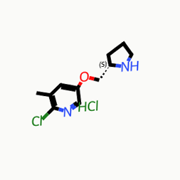 Cc1cc(OC[C@@H]2CCCN2)cnc1Cl.Cl